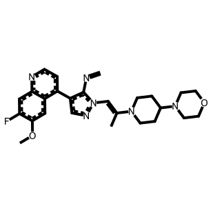 C=Nc1c(-c2ccnc3cc(F)c(OC)cc23)cnn1/C=C(\C)N1CCC(N2CCOCC2)CC1